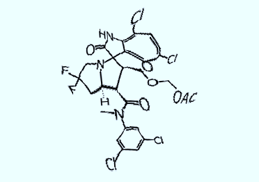 CC(=O)OCOC(=O)[C@H]1[C@@H](C(=O)N(C)c2cc(Cl)cc(Cl)c2)[C@H]2CC(F)(F)CN2C12C(=O)Nc1c(Cl)cc(Cl)cc12